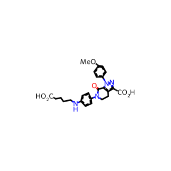 COc1ccc(-n2nc(C(=O)O)c3c2C(=O)N(c2ccc(NCCCCC(=O)O)cc2)CC3)cc1